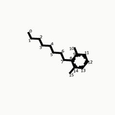 CCCCCCC[CH]c1c(C)cccc1C